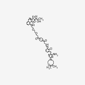 CCC(C(=O)NC(C)O)n1ncc2cccc(NCCOCCOCCC(=O)N3CCN(C(=O)CCCNc4cccc(Sc5ncc(N6CCCO[C@@H](C)[C@@H](C)CCC6)nc5N)c4Cl)CC3)c2c1=O